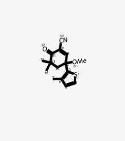 COC1(c2sccc2C)C=C(C#N)C(=O)C(C)(C)C1